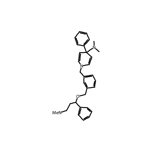 CNCCC(OCc1cccc(CN2C=CC(c3ccccc3)(N(C)C)C=C2)c1)c1ccccc1